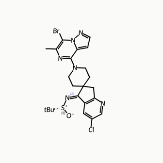 Cc1nc(N2CCC3(CC2)Cc2ncc(Cl)cc2/C3=N\[S@+]([O-])C(C)(C)C)c2ccnn2c1Br